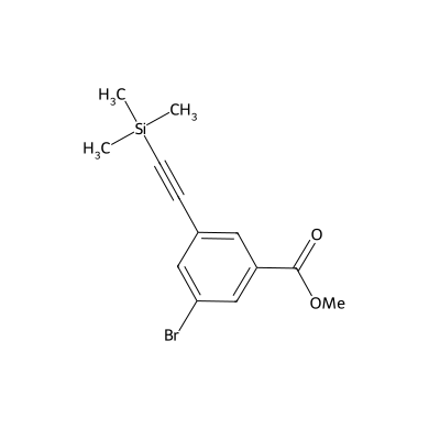 COC(=O)c1cc(Br)cc(C#C[Si](C)(C)C)c1